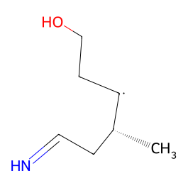 C[C@@H]([CH]CCO)CC=N